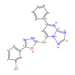 Clc1cccc(-c2nnc(Sc3cc(-c4ccccc4)nc4ncnn34)o2)c1